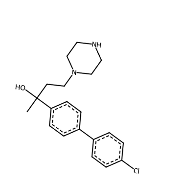 CC(O)(CCN1CCNCC1)c1ccc(-c2ccc(Cl)cc2)cc1